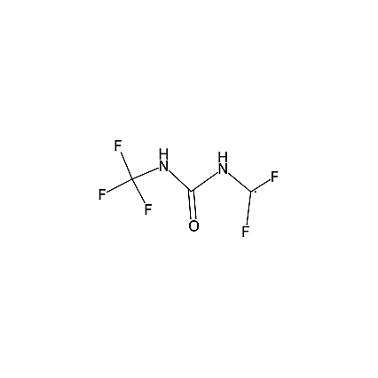 O=C(N[C](F)F)NC(F)(F)F